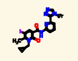 Cc1c(I)cc(C(=O)Nc2cccc(-c3nncn3C(C)C)n2)c(=O)n1CC1CC1